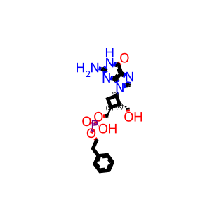 Nc1nc2c(ncn2[C@@H]2C[C@H](COP(=O)(O)OCCc3ccccc3)[C@H]2CO)c(=O)[nH]1